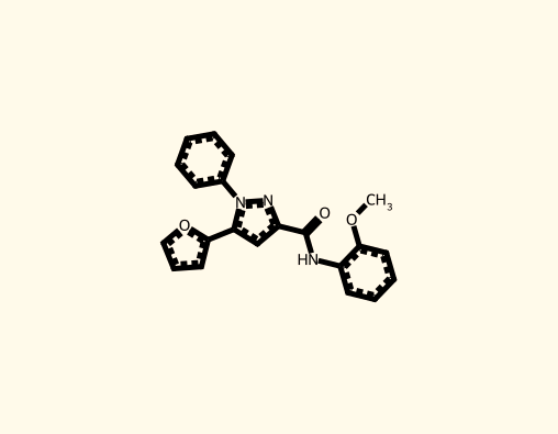 COc1ccccc1NC(=O)c1cc(-c2ccco2)n(-c2ccccc2)n1